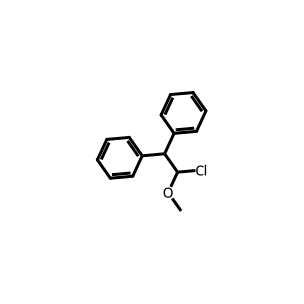 COC(Cl)C(c1ccccc1)c1ccccc1